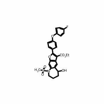 CCOC(=O)c1c(-c2ccc(Oc3ccc(F)cc3)cc2)oc2cc3c(cc12)C(O)CCCN3S(C)(=O)=O